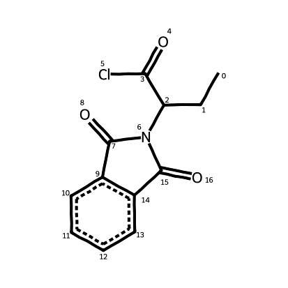 CCC(C(=O)Cl)N1C(=O)c2ccccc2C1=O